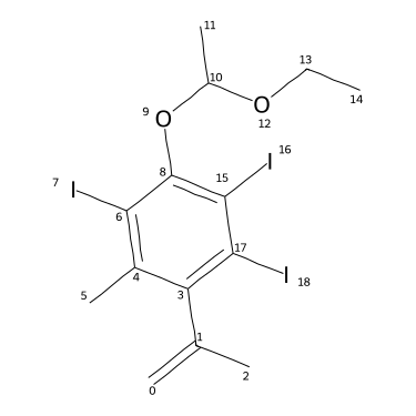 C=C(C)c1c(C)c(I)c(OC(C)OCC)c(I)c1I